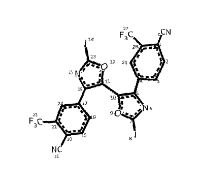 N#Cc1ccc(-c2nc(I)oc2-c2oc(I)nc2-c2ccc(C#N)c(C(F)(F)F)c2)cc1C(F)(F)F